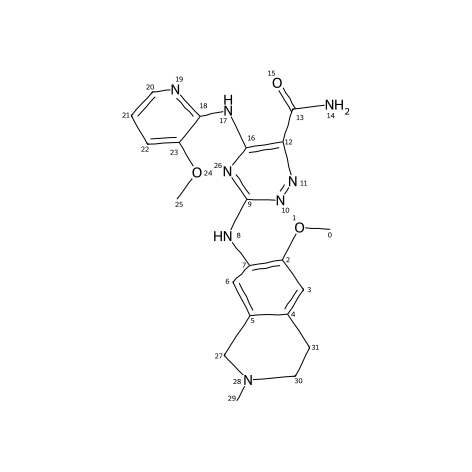 COc1cc2c(cc1Nc1nnc(C(N)=O)c(Nc3ncccc3OC)n1)CN(C)CC2